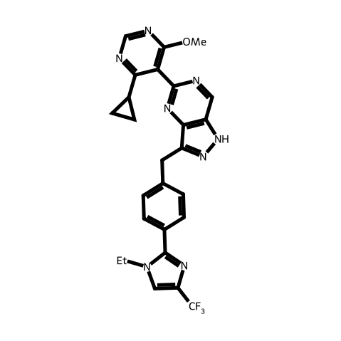 CCn1cc(C(F)(F)F)nc1-c1ccc(Cc2n[nH]c3cnc(-c4c(OC)ncnc4C4CC4)nc23)cc1